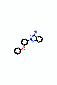 Nc1nc(-c2cccc(Oc3ccccc3)c2)nc2ccccc12